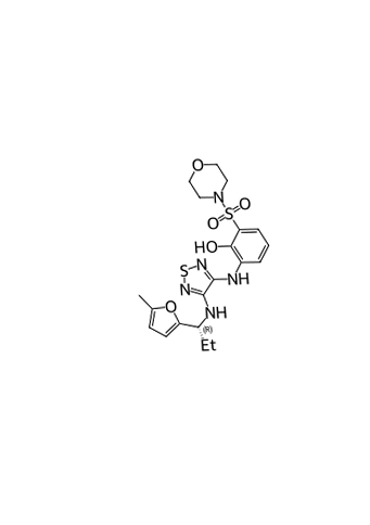 CC[C@@H](Nc1nsnc1Nc1cccc(S(=O)(=O)N2CCOCC2)c1O)c1ccc(C)o1